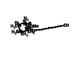 C#CC#CC#CC#CC#CC#CC#CC#CC#CC#COCCCC1c2nc(cc3[nH]c(cc4nc(cc5[nH]c6c(c5C)C(=O)C(C(=O)OC)c26)C(CC)=C4C)c(C=C)c3C)C1C